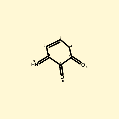 N=C1C=CCC(=O)C1=O